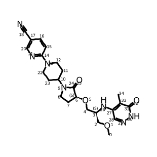 COC[C@@H](CO[C@H]1CCN(C2CCN(c3ccc(C#N)cn3)CC2)C1=O)Nc1cn[nH]c(=O)c1C